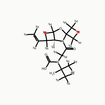 [2H]C([2H])=C([2H])C([2H])([2H])[C@]1([2H])N(C(=O)C([2H])([2H])N(C(=O)O)C(C)(C([2H])([2H])[2H])C([2H])([2H])[2H])C(C([2H])([2H])[2H])(C([2H])([2H])[2H])OC1([2H])[2H]